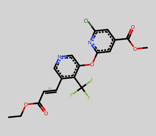 CCOC(=O)/C=C/c1cncc(Oc2cc(C(=O)OC)cc(Cl)n2)c1C(F)(F)F